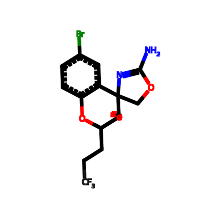 NC1=NC2(CO1)c1cc(Br)ccc1OC(CCC(F)(F)F)C21COC1